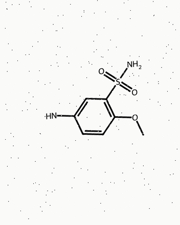 COc1ccc([NH])cc1S(N)(=O)=O